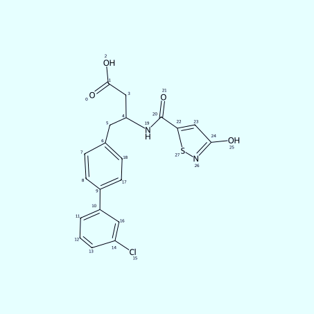 O=C(O)CC(Cc1ccc(-c2cccc(Cl)c2)cc1)NC(=O)c1cc(O)ns1